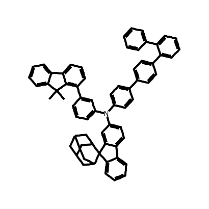 CC1(C)c2ccccc2-c2cccc(-c3cccc(N(c4ccc(-c5ccc(-c6ccccc6-c6ccccc6)cc5)cc4)c4ccc5c(c4)C4(c6ccccc6-5)C5CC6CC(C5)CC4C6)c3)c21